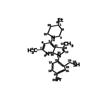 CCC1CCN(c2cc(C)nc3c2c(C)cn3-c2ccc(C(C)C)cc2CS)CC1